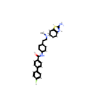 CCCN(CCC1CCC(NC(=O)c2ccc(-c3ccc(F)cc3)cc2)CC1)[C@H]1CCc2nc(N)sc2C1